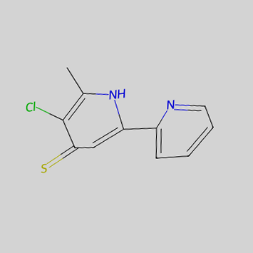 Cc1[nH]c(-c2ccccn2)cc(=S)c1Cl